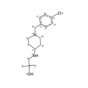 [CH2]C(C)(O)CNC1CCN(Cc2ccc(Cl)cc2)CC1